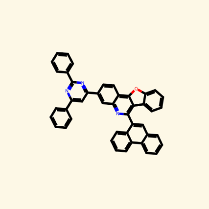 c1ccc(-c2cc(-c3ccc4c(c3)nc(-c3cc5ccccc5c5ccccc35)c3c5ccccc5oc43)nc(-c3ccccc3)n2)cc1